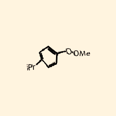 COOc1ccc(C(C)C)cc1